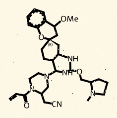 C=CC(=O)N1CCN(C2NC(OCC3CCCN3C)NC3C[C@]4(CCC32)CC(OC)c2ccccc2O4)CC1CC#N